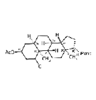 CCC[C@@H](C)[C@H]1CC[C@H]2[C@@H]3CC[C@@H]4C[C@H](OC(C)=O)CC(Cl)[C@]4(C)[C@H]3CC[C@]12C